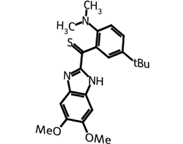 COc1cc2nc(C(=S)c3cc(C(C)(C)C)ccc3N(C)C)[nH]c2cc1OC